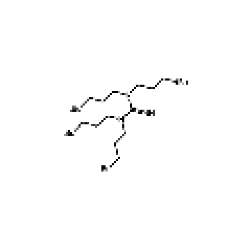 CC(C)(C)CCCN(CCCC(C)(C)C)C(=N)N(CCCC(C)(C)C)CCCC(C)(C)C